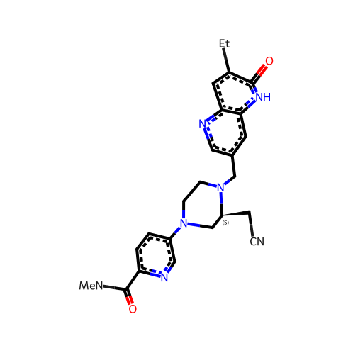 CCc1cc2ncc(CN3CCN(c4ccc(C(=O)NC)nc4)C[C@@H]3CC#N)cc2[nH]c1=O